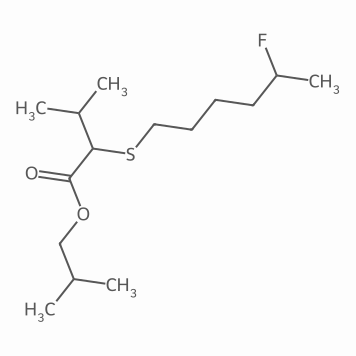 CC(C)COC(=O)C(SCCCCC(C)F)C(C)C